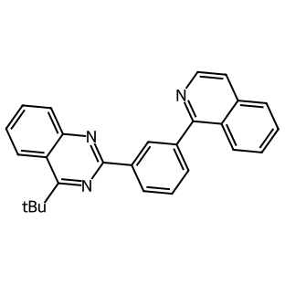 CC(C)(C)c1nc(-c2cccc(-c3nccc4ccccc34)c2)nc2ccccc12